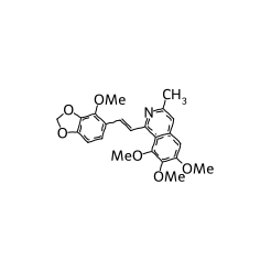 COc1cc2cc(C)nc(/C=C/c3ccc4c(c3OC)OCO4)c2c(OC)c1OC